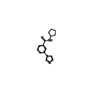 O=C(NC1CCCC1)c1cccc(-n2ccnc2)c1